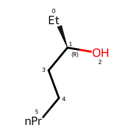 [CH2]C[C@@H](O)CCCCC